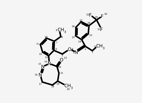 CC/C(=N/OCc1c(CC)cccc1N1/N=N\CCC(C)CC1=O)c1cccc(C(F)(F)F)c1